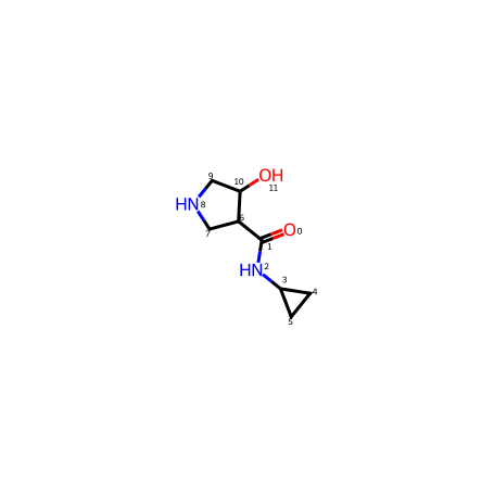 O=C(NC1CC1)C1CNCC1O